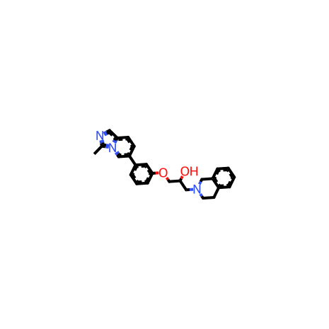 Cc1ncc2ccc(-c3cccc(OCC(O)CN4CCc5ccccc5C4)c3)cn12